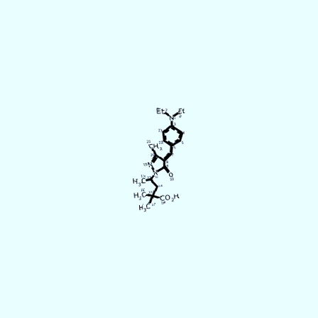 CCN(CC)c1ccc(C=C2C(=O)N(C(C)CC(C)(C)C(=O)O)N=C2C)cc1